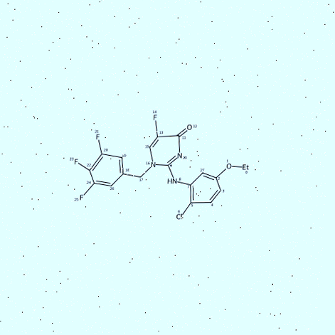 CCOc1ccc(Cl)c(Nc2nc(=O)c(F)cn2Cc2cc(F)c(F)c(F)c2)c1